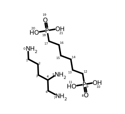 NCCCC(N)CN.O=P(O)(O)CCCCCCP(=O)(O)O